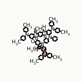 CSN1c2cc3c(cc2B2c4cc5c(cc4Oc4cc(N(c6ccc(C)cc6)c6ccc(C)cc6)cc1c42)N(SC)c1cc(N(c2ccc(C)cc2)c2ccc(C)cc2)cc2c1B5c1ccccc1N2c1ccccc1)B1c2ccccc2N(c2ccccc2)c2cc(N(c4ccc(C)cc4)c4ccc(C)cc4)cc(c21)N3